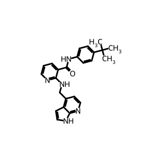 CC(C)(C)c1ccc(NC(=O)c2cccnc2NCc2ccnc3[nH]ccc23)cc1